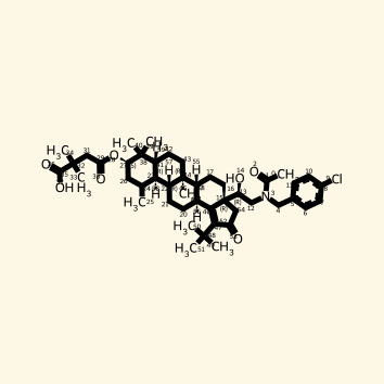 CC(=O)N(Cc1ccc(Cl)cc1)C[C@H](O)[C@@]12CC[C@@H]3[C@H](CC[C@@H]4[C@H]5C(C)C[C@H](OC(=O)CC(C)(C)C(=O)O)C(C)(C)[C@@H]5CC[C@]43C)C1=C(C(C)(C)C)C(=O)C2